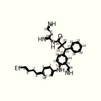 C=C(/C=C\C(F)=C/C/C=C/CC)Nc1ccc([C@H](c2ccccc2)C(C)(C)C(=O)NC(=N)SC=N)cc1C=N